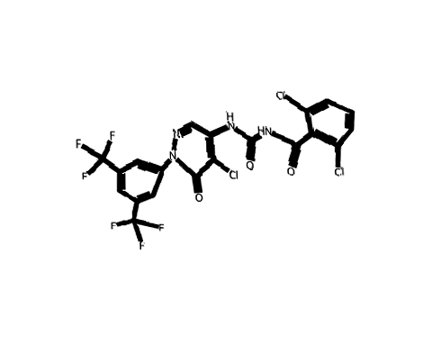 O=C(NC(=O)c1c(Cl)cccc1Cl)Nc1cnn(-c2cc(C(F)(F)F)cc(C(F)(F)F)c2)c(=O)c1Cl